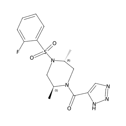 C[C@@H]1CN(C(=O)c2cnn[nH]2)[C@@H](C)CN1S(=O)(=O)c1ccccc1F